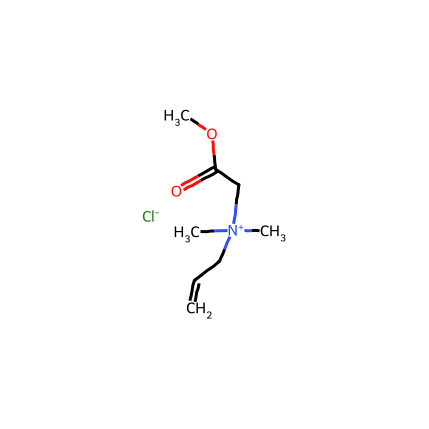 C=CC[N+](C)(C)CC(=O)OC.[Cl-]